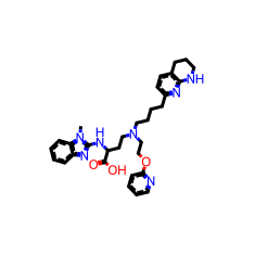 Cn1c(NC(CCN(CCCCc2ccc3c(n2)NCCC3)CCOc2ccccn2)C(=O)O)nc2ccccc21